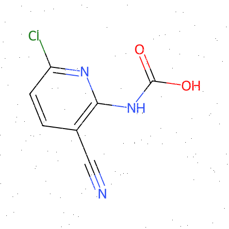 N#Cc1ccc(Cl)nc1NC(=O)O